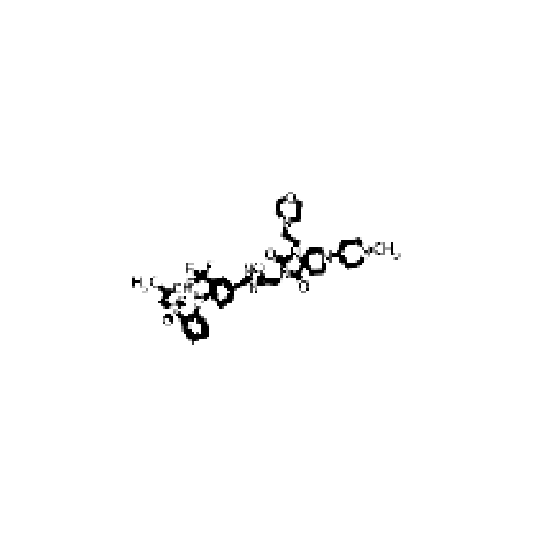 CC(C)CS(=O)(=O)c1ccccc1Oc1ccc(-c2noc(CN3C(=O)N(CCN4CCOCC4)C4(CCN(C5CCN(C)CC5)CC4)C3=O)n2)cc1C(F)(F)F